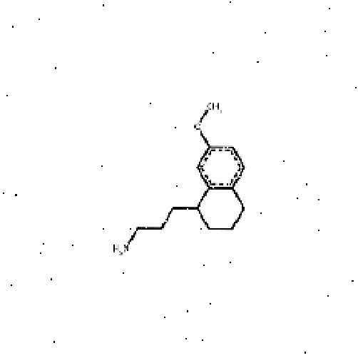 COc1ccc2c(c1)C(CCCN)CCC2